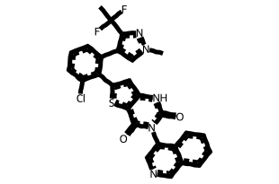 Cn1cc(-c2cccc(Cl)c2-c2cc3[nH]c(=O)n(-c4cncc5ccccc45)c(=O)c3s2)c(C(C)(F)F)n1